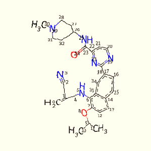 C=C(C#N)CNc1c(OC(C)C)ccc2ccc(-c3nccc(C(=O)NC4CCN(C)CC4)n3)cc12